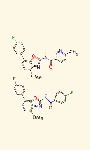 COc1ccc(-c2ccc(F)cc2)c2oc(NC(=O)c3ccc(C)nc3)nc12.COc1ccc(-c2ccc(F)cc2)c2oc(NC(=O)c3ccc(F)cc3)nc12